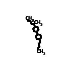 C=CCCC(C)C1CCC(C2CCC(CCCCC)CC2)CC1